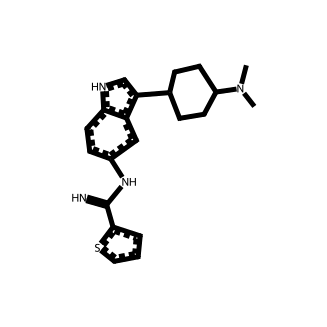 CN(C)C1CCC(c2c[nH]c3ccc(NC(=N)c4cccs4)cc23)CC1